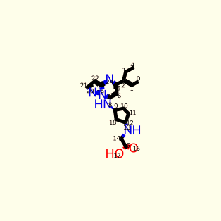 C/C=C(\CC)c1cc(N[C@H]2CCC(NCC(=O)O)C2)n2nccc2n1